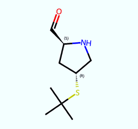 CC(C)(C)S[C@H]1CN[C@H](C=O)C1